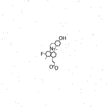 COC(=O)/C=C/c1ccc(C2(C)c3ccc(O)cc3CCN2c2ccc(C)c(F)c2)cc1